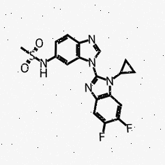 CS(=O)(=O)Nc1ccc2ncn(-c3nc4cc(F)c(F)cc4n3C3CC3)c2c1